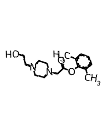 Cc1cccc(C)c1OC(=O)CN1CCN(CCO)CC1